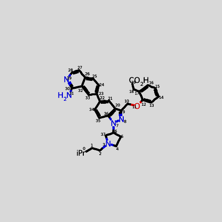 CC(C)CCN1CCC(n2nc(COc3ccccc3CC(=O)O)c3cc(-c4ccc5ccnc(N)c5c4)ccc32)C1